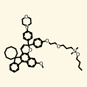 CCCCO[Si](C)(C)CCCOCCOc1ccc(C2(c3ccc(N4CCOCC4)cc3)C=Cc3c4c(c5ccc(OC)cc5c3O2)-c2ccccc2C42CCCCCCC2)cc1